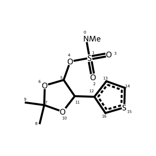 CNS(=O)(=O)OC1OC(C)(C)OC1c1ccsc1